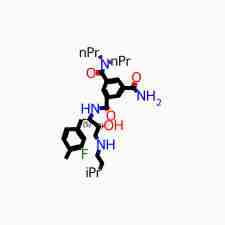 CCCN(CCC)C(=O)c1cc(C(N)=O)cc(C(=O)N[C@@H](Cc2ccc(C)c(F)c2)[C@H](O)CNCCC(C)C)c1